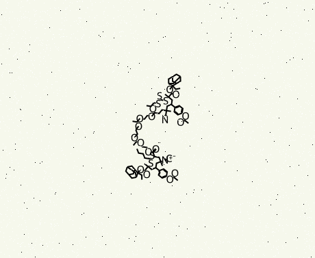 [C-]#[N+]C(C)(CCC(=O)OCCOC(C)OCCOC(C)OCCOC(=O)CCC(C)(C#N)CC(CC(C)(SC(=S)SCCC)C(=O)OC1(CC)C2CC3CC(C2)CC1C3)c1ccc(OC(C)=O)cc1)CC(CC(C)(SC(=S)CCCC)C(=O)OC1(CC)C2CC3CC(C2)CC1C3)c1ccc(OC(C)=O)cc1